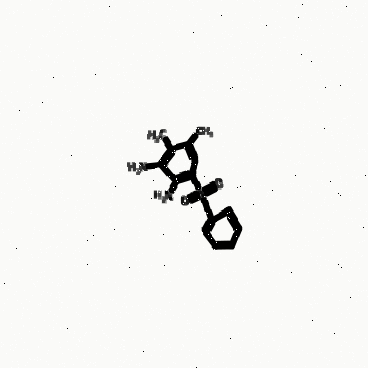 Cc1cc(S(=O)(=O)c2ccccc2)c(N)c(N)c1C